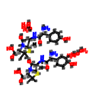 CC1(C)S[C@@H]2[C@H](NC(=O)[C@H](N)c3ccc(O)cc3)C(=O)N2[C@H]1C(=O)O.CC1(C)S[C@@H]2[C@H](NC(=O)[C@H](N)c3ccc(O)cc3)C(=O)N2[C@H]1C(=O)O.O.O.O.O.O.O